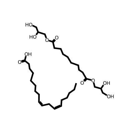 CCCCC/C=C\C/C=C\CCCCCCCC(=O)O.O=C(CCCCCCCCC(=O)OCC(O)CO)OCC(O)CO